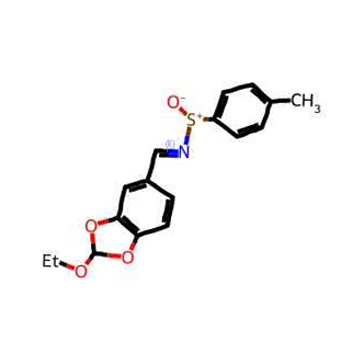 CCOC1Oc2ccc(/C=N/[S+]([O-])c3ccc(C)cc3)cc2O1